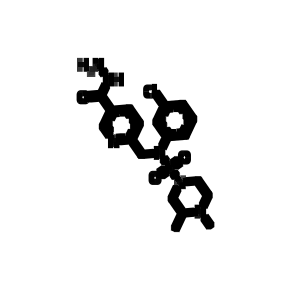 CC1CN(S(=O)(=O)N(Cc2ccc(C(=O)NN)cn2)c2cccc(Cl)c2)CCN1C